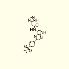 CC(C)S(=O)(=O)c1ccc(-c2cnc3[nH]cc(NC(=O)Cc4ncn[nH]4)c3n2)cc1